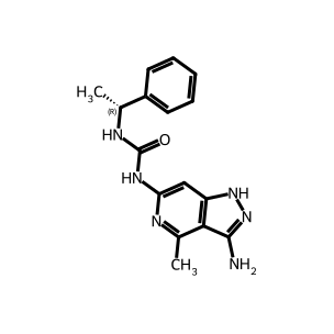 Cc1nc(NC(=O)N[C@H](C)c2ccccc2)cc2[nH]nc(N)c12